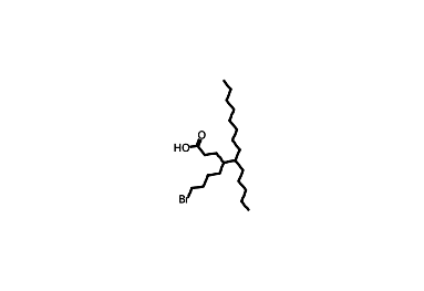 CCCCCCCCC(CCCCC)C(CCCCBr)CCC(=O)O